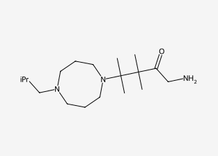 CC(C)CN1CCCN(C(C)(C)C(C)(C)C(=O)CN)CCC1